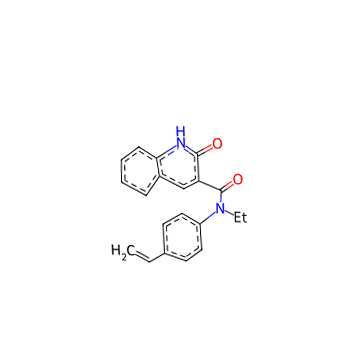 C=Cc1ccc(N(CC)C(=O)c2cc3ccccc3[nH]c2=O)cc1